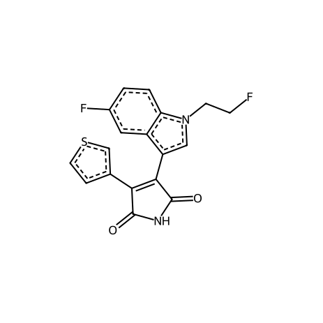 O=C1NC(=O)C(c2cn(CCF)c3ccc(F)cc23)=C1c1ccsc1